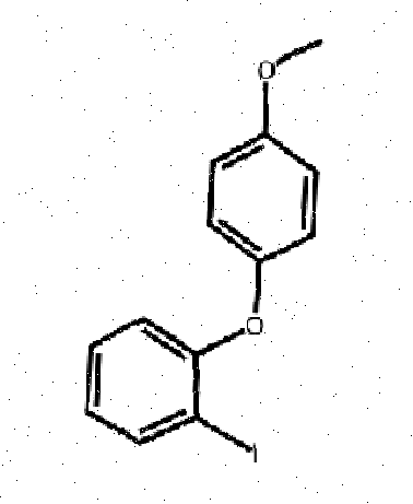 COc1ccc(Oc2ccccc2I)cc1